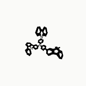 CC1(C)c2ccccc2-c2ccc(-c3ccc(N(c4ccc(-n5c6ccccc6c6ccccc65)cc4)c4ccc5c(c4)c4cccc6c7ccccc7n5c64)cc3)cc21